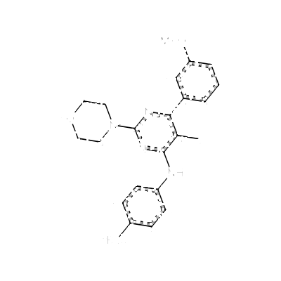 COc1cccc(-c2nc(N3CCOCC3)nc(Nc3ccc(C(C)(C)C)cc3)c2C)c1